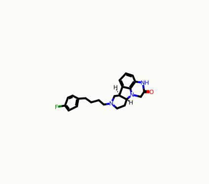 O=C1CN2c3c(cccc3[C@@H]3CN(CCCCc4ccc(F)cc4)CC[C@@H]32)N1